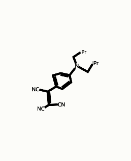 CC(C)CN(CC(C)C)c1ccc(C(C#N)=C(C#N)C#N)cc1